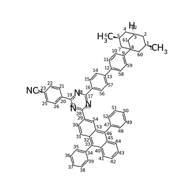 C[C@@H]1C[C@@H]2C[C@H](C)CC(c3ccc(-c4ccc(-c5nc(-c6ccc(C#N)cc6)nc(-c6ccc7c(-c8ccccc8)c8ccccc8c(-c8ccccc8)c7c6)n5)cc4)cc3)(C1)C2